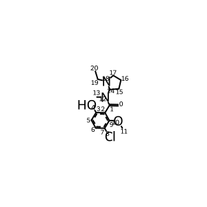 C=C(c1c(O)ccc(Cl)c1OC)N(C)C1CCCN1CC